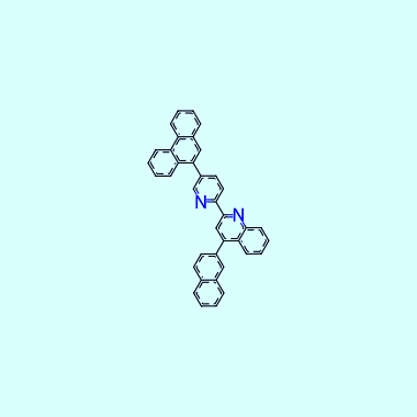 c1ccc2cc(-c3cc(-c4ccc(-c5cc6ccccc6c6ccccc56)cn4)nc4ccccc34)ccc2c1